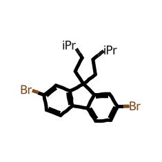 CC(C)CCC1(CCC(C)C)c2cc(Br)ccc2-c2ccc(Br)cc21